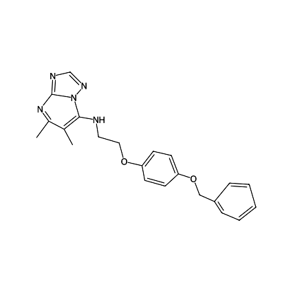 Cc1nc2ncnn2c(NCCOc2ccc(OCc3ccccc3)cc2)c1C